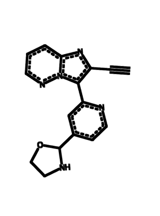 C#Cc1nc2cccnn2c1-c1cc(C2NCCO2)ccn1